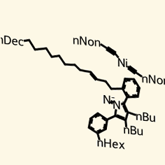 CCCCCCCCCC#[C][Ni][C]#CCCCCCCCCC.CCCCCCCCCCCCCCCCCCC=CCCc1ccccc1C1=C(CCCC)C(CCCC)=C(c2cccc(CCCCCC)c2)[N+]1=[N-]